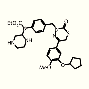 CCOC(=O)N(c1ccc(CN2N=C(c3ccc(OC)c(OC4CCCC4)c3)CSC2=O)cc1)C1CNCCN1